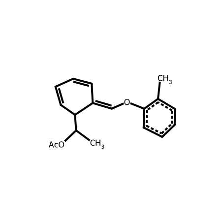 CC(=O)OC(C)C1C=CC=CC1=COc1ccccc1C